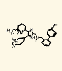 Cc1cccc(-c2nc(CN(I)Cc3ccccc3-c3ccc(F)cc3)[nH]c2-c2ccc3ncnn3c2)n1